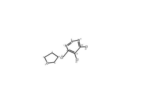 C1CCOC1.Clc1nnnc(Cl)c1Cl